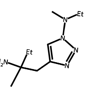 CCN(C)n1cc(CC(C)(N)CC)nn1